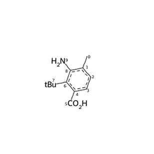 Cc1ccc(C(=O)O)c(C(C)(C)C)c1N